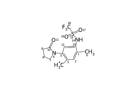 Cc1cc(C)c(N2CCCC2=O)cc1NS(=O)(=O)C(F)(F)F